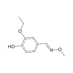 CCOc1cc(C=NOC)ccc1O